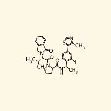 Cc1ncsc1-c1ccc(C(C)NC(=O)C2CCCN2C(=O)[C@H](C(C)C)N2Cc3ccccc3C2=O)c(I)c1